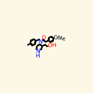 COc1ccc(CC(=O)N(Cc2ccc(C)cc2)C2CCNCC2CCO)cc1